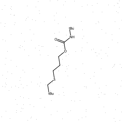 CC(C)(C)CSCCCOC(=O)NC(C)(C)C